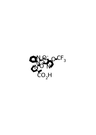 Cc1c(OCC(F)(F)F)ccnc1C[S+]([O-])c1nc2ccccc2n1C(=O)N1CCC[C@H]1C(C)C(=O)O